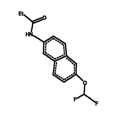 CCC(=O)Nc1ccc2cc(OC(F)F)ccc2c1